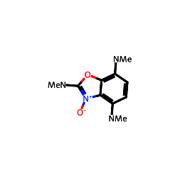 CNc1ccc(NC)c2c1oc(NC)[n+]2[O-]